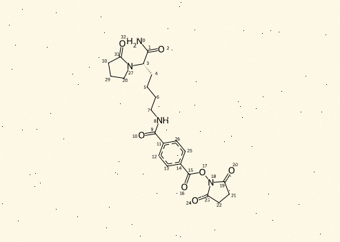 NC(=O)[C@H](CCCCNC(=O)c1ccc(C(=O)ON2C(=O)CCC2=O)cc1)N1CCCC1=O